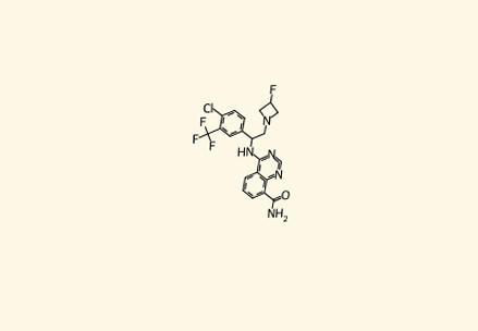 NC(=O)c1cccc2c(NC(CN3CC(F)C3)c3ccc(Cl)c(C(F)(F)F)c3)ncnc12